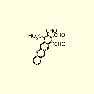 O=Cc1c(C=O)c(C(=O)O)c2cc3cc4ccccc4cc3cc2c1C=O